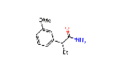 CCC(C(N)=O)c1cccc(OC)c1